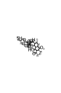 COc1c2c(c(O)c3c4c(c(C)cc13)[C@@H]1O[C@@]3(C5OCC(CS)CO5)O[C@@H]1[C@@](OC)(O4)[C@@]31CO1)C(=O)CCC2